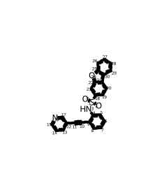 O=S(=O)(Nc1ccccc1C#Cc1cccnc1)c1ccc2c(c1)oc1ccccc12